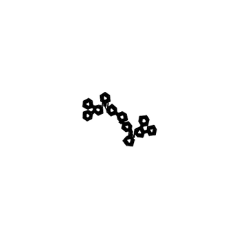 CC1(c2ccc(N(c3ccccc3)c3ccc(-c4ccccc4)c(-c4ccccc4)c3)cc2)C=CC=C(c2ccc(N(C3=CC(c4ccccc4)C(C4=CC=CCC4)C=C3)c3ccccc3)cc2)C1